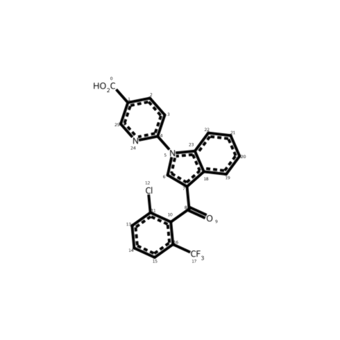 O=C(O)c1ccc(-n2cc(C(=O)c3c(Cl)cccc3C(F)(F)F)c3ccccc32)nc1